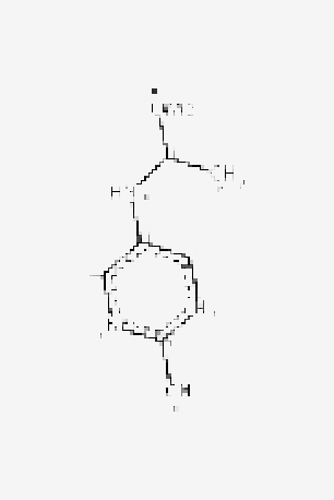 COC(C)Nc1cnc(C#N)nc1